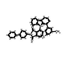 Cc1cc(C)cc(-c2cccc3c4ccccc4n(-c4cccc5c4C(=O)N(c4ccc(-c6ccccc6)cc4)C5=O)c23)c1